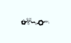 Nc1ccc(OCCNS(=O)(=O)c2cccs2)cc1